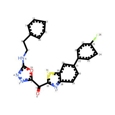 O=C(c1nnc(NCCc2ccccc2)o1)c1nc2ccc(-c3ccc(F)cc3)cc2s1